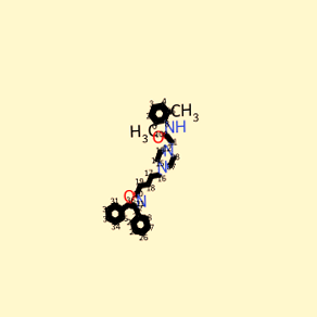 Cc1cccc(C)c1NC(=O)CN1CCN(CCCCc2nc(-c3ccccc3)c(-c3ccccc3)o2)CC1